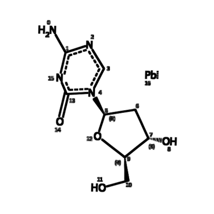 Nc1ncn([C@H]2C[C@H](O)[C@@H](CO)O2)c(=O)n1.[Pb]